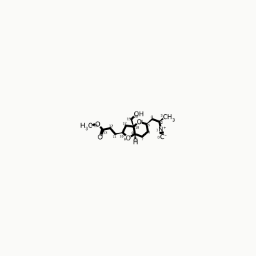 [C-]#[N+][C@H](C)C[C@H]1CC[C@@H]2O[C@@H](CCC(=O)OC)C[C@]2(CO)O1